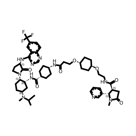 CC(C)N(C)[C@@H]1CC[C@H](N2CC[C@H](Nc3ncnc4ccc(C(F)(F)F)cc34)C2=O)[C@H](NC(=O)[C@H]2CC[C@@H](NC(=O)CCO[C@H]3CC[C@H](OCCNC(=O)[C@H]4CC(=O)N(C)[C@@H]4c4cccnc4)CC3)CC2)C1